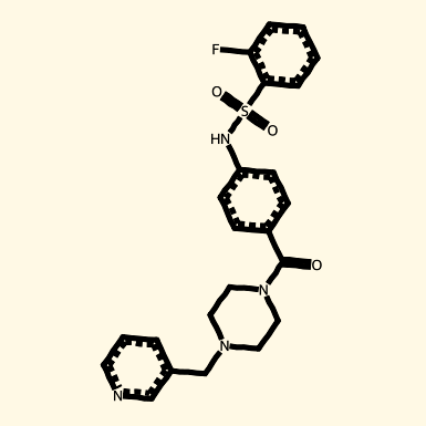 O=C(c1ccc(NS(=O)(=O)c2ccccc2F)cc1)N1CCN(Cc2cccnc2)CC1